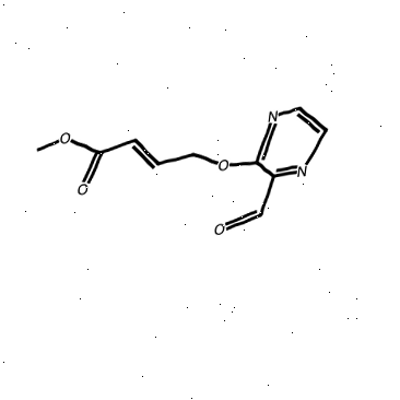 COC(=O)/C=C/COc1nccnc1C=O